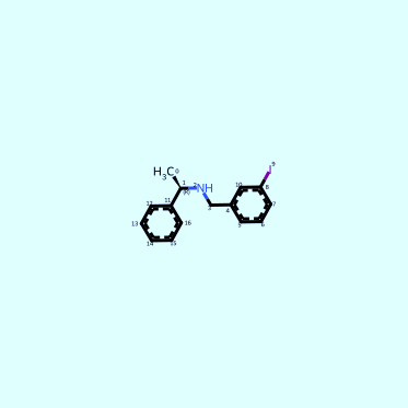 C[C@@H](NCc1cccc(I)c1)c1ccccc1